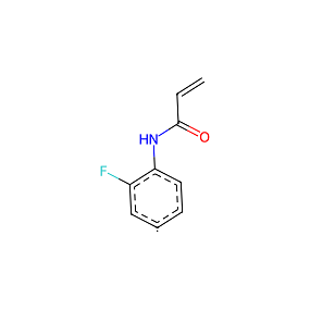 C=CC(=O)Nc1cc[c]cc1F